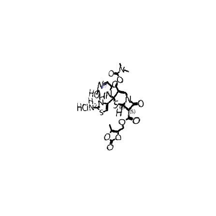 Cc1oc(=O)oc1COC(=O)[C@@H]1C(=O)N2C=C(COC(=O)N(C)C)C(NC(=O)/C=N\O)(c3csc(N)n3)S[C@@H]12.Cl